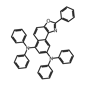 c1ccc(-c2nc3c(ccc4c(N(c5ccccc5)c5ccccc5)cc(N(c5ccccc5)c5ccccc5)cc43)o2)cc1